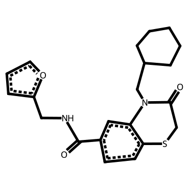 O=C(NCc1ccco1)c1ccc2c(c1)N(CC1CCCCC1)C(=O)CS2